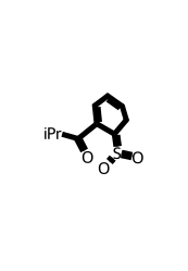 CC(C)C(=O)C1=CC=CCC1=S(=O)=O